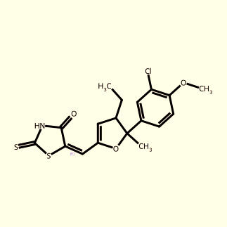 CCC1C=C(/C=C2/SC(=S)NC2=O)OC1(C)c1ccc(OC)c(Cl)c1